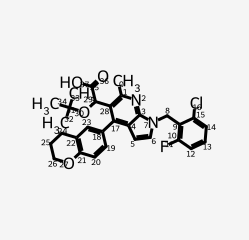 Cc1nc2c(ccn2Cc2c(F)cccc2Cl)c(-c2ccc3c(c2)CCCO3)c1C(OC(C)(C)C)C(=O)O